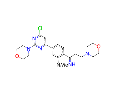 CNc1cc(-c2cc(Cl)nc(N3CCOCC3)n2)ccc1C(=N)CCN1CCOCC1